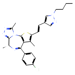 CCCCn1cc(C=Cc2sc3c(c2C)C(c2ccc(Cl)cc2)=N[C@@H](C)c2nnc(C)n2-3)cn1